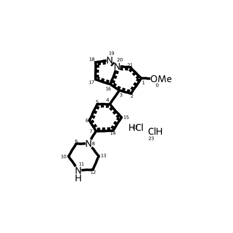 COc1cc(-c2ccc(N3CCNCC3)cc2)c2ccnn2c1.Cl.Cl